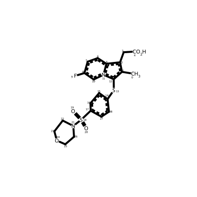 Cc1c(CC(=O)O)c2ccc(F)cn2c1Sc1ccc(S(=O)(=O)N2CCOCC2)cc1